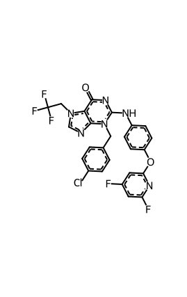 O=c1nc(Nc2ccc(Oc3cc(F)cc(F)n3)cc2)n(Cc2ccc(Cl)cc2)c2ncn(CC(F)(F)F)c12